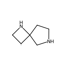 [CH]1CNC12CCNC2